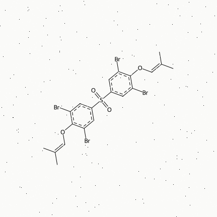 CC(C)=COc1c(Br)cc(S(=O)(=O)c2cc(Br)c(OC=C(C)C)c(Br)c2)cc1Br